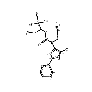 C#CCN(C(=O)CC(SC)C(F)(F)F)c1sc(-c2cccnc2)nc1Cl